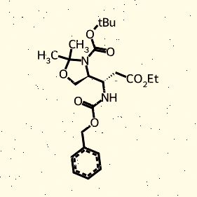 CCOC(=O)C[C@H](NC(=O)OCc1ccccc1)[C@H]1COC(C)(C)N1C(=O)OC(C)(C)C